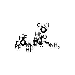 NCCCC[C@@H]1C(=O)N2C[C@@H](NC(=O)Nc3cc(C(F)(F)F)cc(C(F)(F)F)c3)C[C@H]2CN1C(=O)Nc1ccc(Cl)c(Cl)c1